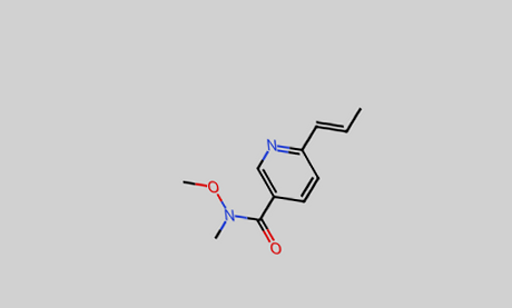 CC=Cc1ccc(C(=O)N(C)OC)cn1